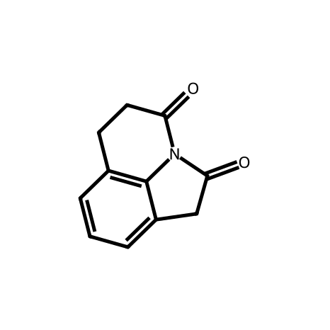 O=C1CCc2cccc3c2N1C(=O)C3